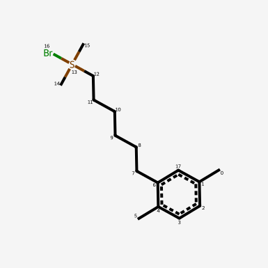 Cc1ccc(C)c(CCCCCCS(C)(C)Br)c1